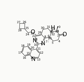 C[C@H]1C(=O)CC[C@@]2(C)c3nc(-c4ccnc5ccccc45)nc(OCC4CCC4)c3CC[C@H]12